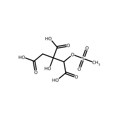 CS(=O)(=O)OC(C(=O)O)C(O)(CC(=O)O)C(=O)O